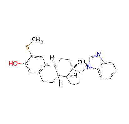 CSc1cc2c(cc1O)CC[C@@H]1[C@@H]2CC[C@]2(C)C(n3cnc4ccccc43)CC[C@@H]12